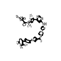 Cc1cc(-c2cc(Nc3ccc(N4CCN(C(=O)C5CN(c6ccc(C7CCC(=O)NC7=O)cc6)C5)CC4)cn3)ncn2)ccc1[C@@H](C)NC(=O)c1nc(C(C)(C)C)no1